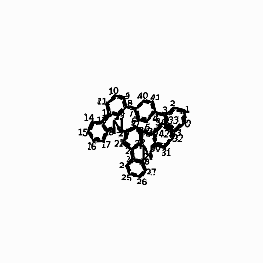 c1ccc(-c2ccc(-c3cccc4c5ccccc5n(-c5cc6c7ccccc7n7c8ccccc8c(c5)c67)c34)cc2)cc1